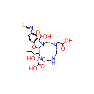 CCC(O)C1C(Oc2ccc(N=C=S)cc2)N(CC(=O)O)CCN(CC(=O)O)CCNCCN1CC(=O)O